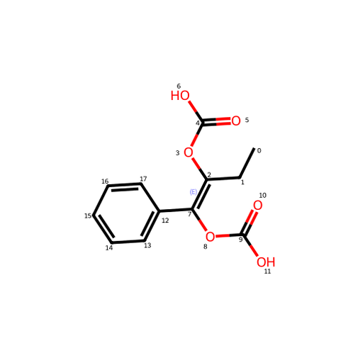 CC/C(OC(=O)O)=C(\OC(=O)O)c1ccccc1